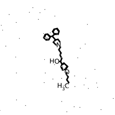 CCCCCOc1ccc(C(O)CCCCCN2CCC(C(c3ccccc3)c3ccccc3)CC2)cc1